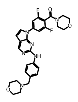 O=C(c1c(F)cc(-n2ccc3cnc(Nc4ccc(CN5CCOCC5)cc4)nc32)cc1F)N1CCOCC1